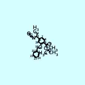 CCC(N=C=O)c1ccc(C(=O)OC(C)(C)C)c(OCc2ccccc2)c1